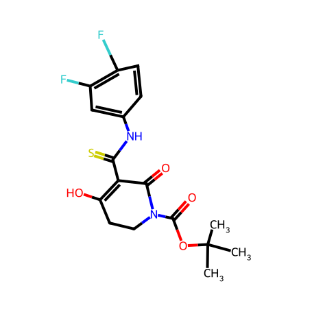 CC(C)(C)OC(=O)N1CCC(O)=C(C(=S)Nc2ccc(F)c(F)c2)C1=O